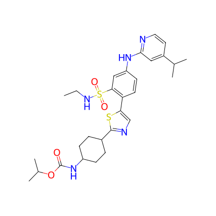 CCNS(=O)(=O)c1cc(Nc2cc(C(C)C)ccn2)ccc1-c1cnc(C2CCC(NC(=O)OC(C)C)CC2)s1